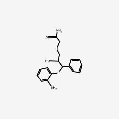 NC(=O)COCC(O)C(Sc1ccccc1N)c1ccccc1